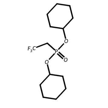 O=P(CC(F)(F)F)(OC1CCCCC1)OC1CCCCC1